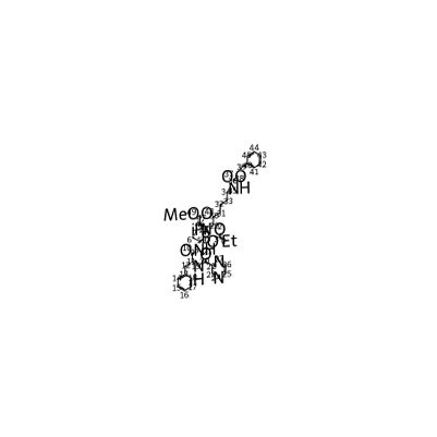 CCC(=O)OB([C@H](CC(C)C)NC(=O)[C@H](Cc1ccccc1)NC(=O)c1cnccn1)N(CCCCCCNC(=O)OCc1ccccc1)CC(=O)OC